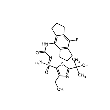 CC(C)(O)c1nc(CO)c(S(N)(=O)=NC(=O)Nc2c3c(c(F)c4c2CCC4)CCC3)s1